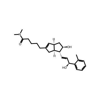 Cc1ccccc1[C@@H](O)/C=C/[C@@H]1[C@H]2CC(CCCCC(=O)N(C)C)=C[C@H]2C[C@H]1O